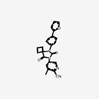 Cc1cc(N2C(=O)C3(CCC3)N(c3ccc(-c4ccco4)cc3)C2=S)cnc1C#N